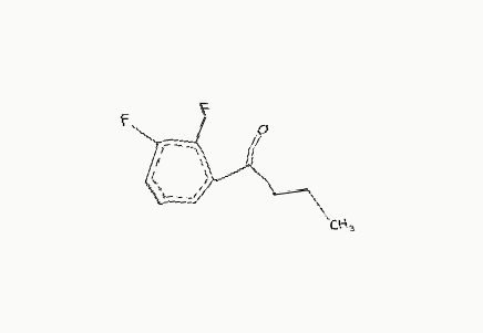 CCCC(=O)c1cccc(F)c1F